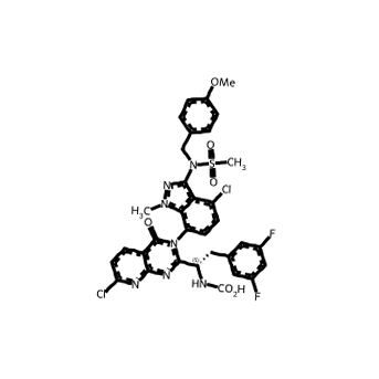 COc1ccc(CN(c2nn(C)c3c(-n4c([C@H](Cc5cc(F)cc(F)c5)NC(=O)O)nc5nc(Cl)ccc5c4=O)ccc(Cl)c23)S(C)(=O)=O)cc1